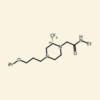 CCNC(=O)CN1CCN(CCCOC(C)C)C[C@@H]1C(F)(F)F